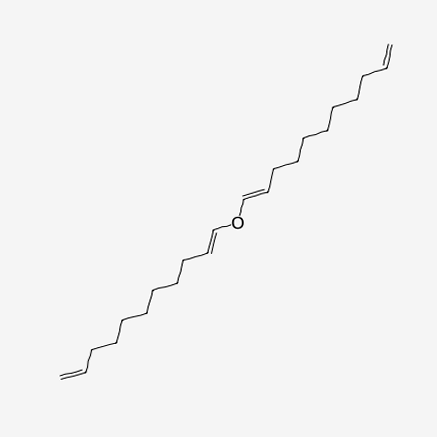 C=CCCCCCCCC=COC=CCCCCCCCC=C